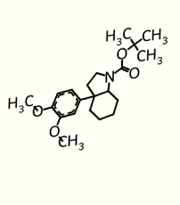 COc1ccc(C23CCCCC2N(C(=O)OC(C)(C)C)CC3)cc1OC